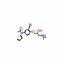 CC(=O)N(c1ccc(OCC(O)CNC(C)C)c(C#N)c1)c1cccs1